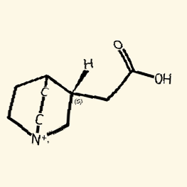 O=C(O)C[C@@H]1C[N+]2CCC1CC2